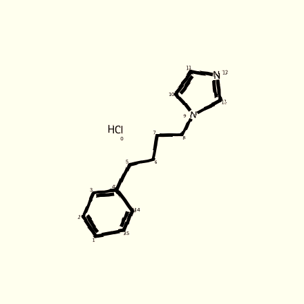 Cl.c1ccc(CCCCn2ccnc2)cc1